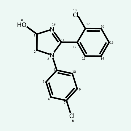 OC1CN(c2ccc(Cl)cc2)C(c2ccccc2Cl)=N1